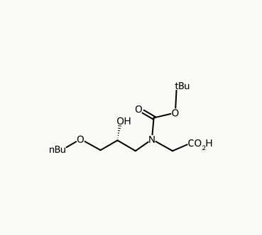 CCCCOC[C@H](O)CN(CC(=O)O)C(=O)OC(C)(C)C